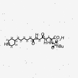 CCCCS(=O)(=O)N[C@@H](CNC(=O)CNC(=O)CCCCCC1CCNCC1)C(=O)O